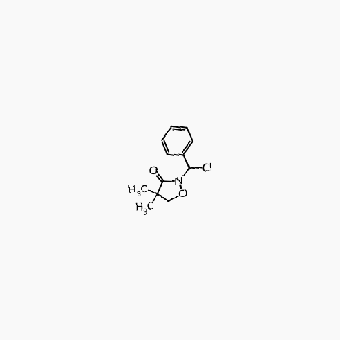 CC1(C)CON(C(Cl)c2ccccc2)C1=O